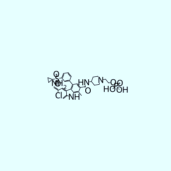 C=c1[nH]c2c(C)c(C(=O)NC3CCN(CCOP(=O)(O)O)CC3)cc(-c3cccc(S(=O)(=O)C4CC4)c3)c2/c1=C/C(Cl)=C\N